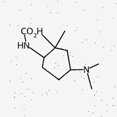 CN(C)C1CCC(NC(=O)O)C(C)(C)C1